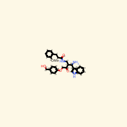 COc1ccccc1CCC(=O)NCC(C(=O)COc1ccc(CO)cc1)C(N)c1c[nH]c2ccccc12